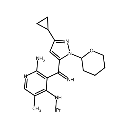 Cc1cnc(N)c(C(=N)c2cc(C3CC3)nn2C2CCCCO2)c1NC(C)C